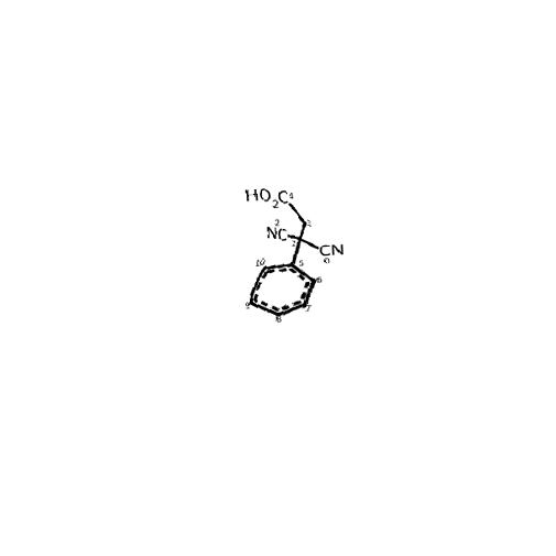 N#CC(C#N)(CC(=O)O)c1ccccc1